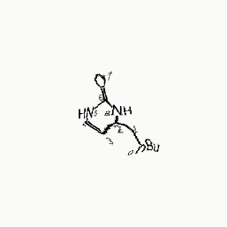 CCCCCC1C=CNC(=O)N1